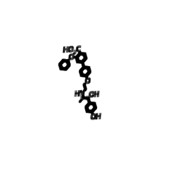 C[C@@H](NCCOc1ccc(-c2ccc(C(=O)O)c(Oc3ccccc3)c2)cc1)[C@H](O)c1ccc(O)cc1